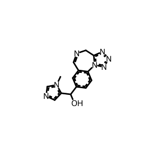 Cn1cncc1C(O)c1ccc2c(c1)C=NCc1nnnn1-2